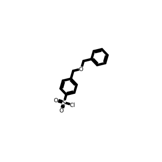 O=S(=O)(Cl)c1ccc(COCc2ccccc2)cc1